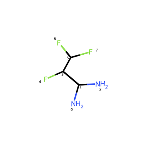 NC(N)C(F)C(F)F